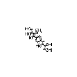 CO[C@@H]([C@H](O)CO)[C@H](O)c1cnc(C[C@H](O)[C@H](O)CO)cn1